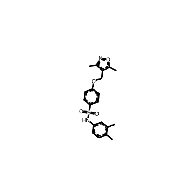 Cc1ccc(NS(=O)(=O)c2ccc(OCc3c(C)noc3C)cc2)cc1C